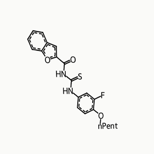 CCCCCOc1ccc(NC(=S)NC(=O)c2cc3ccccc3o2)cc1F